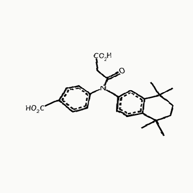 CC1(C)CCC(C)(C)c2cc(N(C(=O)CC(=O)O)c3ccc(C(=O)O)cc3)ccc21